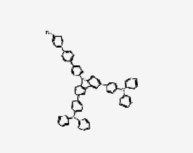 N#Cc1ccc(-c2ccc(-c3ccc(-n4c5ccc(-c6ccc(N(c7ccccc7)c7ccccc7)cc6)cc5c5cc(-c6ccc(N(c7ccccc7)c7ccccc7)cc6)ccc54)cc3)cc2)cc1